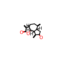 C=C1C(=O)C[C@H]2C(=C)CC[C@H]3C(=C)C(=O)O[C@@H]3[C@@H]12